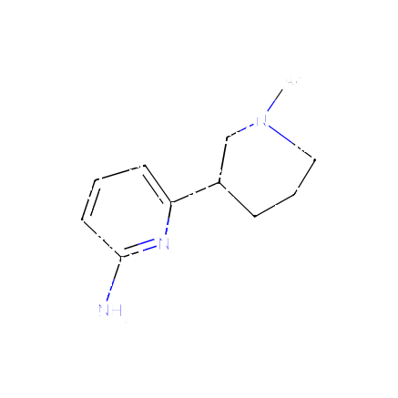 CC(=O)N1CCCC(c2cccc(N)n2)C1